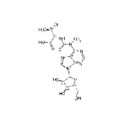 C[C@@H](O)[C@H](NC(=O)N(C)c1ncnc2c1ncn2C1O[C@H](CO)[C@@H](O)[C@H]1O)C(=O)O